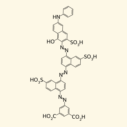 O=C(O)c1cc(N=Nc2ccc(N=Nc3ccc(N=Nc4c(S(=O)(=O)O)cc5cc(Nc6ccccc6)ccc5c4O)c4cc(S(=O)(=O)O)ccc34)c3cc(S(=O)(=O)O)ccc23)cc(C(=O)O)c1